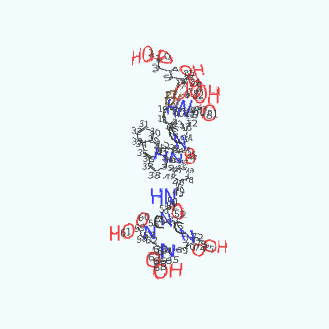 O=C(O)CCC[C@H](OC(=O)N[C@@H](CCCN(Cc1ccc(Br)cc1)C(=O)[C@H](Cc1c2ccccc2cc2ccccc12)NC(=O)[C@H]1CC[C@H](CNC(=O)CN2CCN(CC(=O)O)CCN(CC(=O)O)CCN(CC(=O)O)CC2)CC1)C(=O)O)C(=O)O